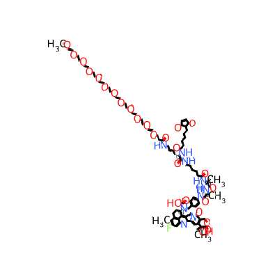 CC[C@@]1(O)C(=O)OCc2c1cc1n(c2=O)Cc2c-1nc1cc(F)c(C)c3c1c2[C@@H](N(Cc1ccc(NC(=O)[C@H](C)NC(=O)[C@H](C)NC(=O)CCCCCNC(=O)[C@H](CCCCNC(=O)CCOCCOCCOCCOCCOCCOCCOCCOCCOCCOCCOCCOC)NC(=O)CCCCCC2C(=O)C=CC2=O)cc1)C(=O)O)CC3